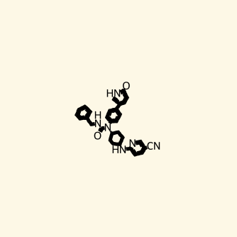 N#Cc1ccc(N[C@H]2CC[C@H](N(C(=O)NCc3ccccc3)c3ccc(-c4ccc(=O)[nH]c4)cc3)CC2)nc1